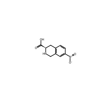 O=C(O)[C@H]1Cc2ccc([N+](=O)[O-])cc2CN1